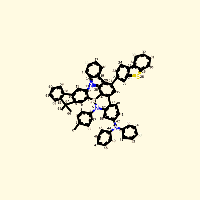 Cc1ccc(N2B3c4cc5c(cc4-n4c6ccccc6c6c(-c7ccc8c(c7)sc7ccccc78)cc(c3c64)-c3ccc(N(c4ccccc4)c4ccccc4)cc32)-c2ccccc2C5(C)C)cc1